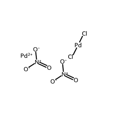 O=[N+]([O-])[O-].O=[N+]([O-])[O-].[Cl][Pd][Cl].[Pd+2]